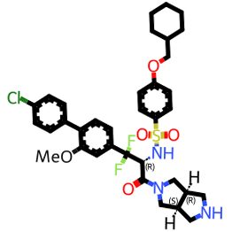 COc1cc(C(F)(F)[C@H](NS(=O)(=O)c2ccc(OCC3CCCCC3)cc2)C(=O)N2C[C@H]3CNC[C@H]3C2)ccc1-c1ccc(Cl)cc1